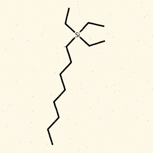 CCCCCCC[CH][Si](CC)(CC)CC